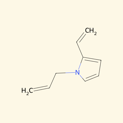 C=CCn1cccc1C=C